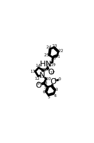 COc1ccccc1C(=O)CN1CCC[C@H]1C(=O)NCc1ccccc1